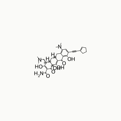 CN(C)C[C@@H]1C(O)=C(C(N)=O)C(=O)[C@@]2(O)C(O)=C3C(=O)c4c(O)c(C#CC5=CCCC5)cc(N(C)C)c4C[C@H]3C[C@@H]12